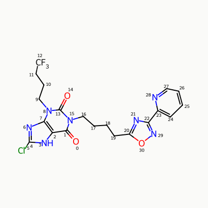 O=c1c2[nH]c(Cl)nc2n(CCCC(F)(F)F)c(=O)n1CCCCc1nc(-c2ccccn2)no1